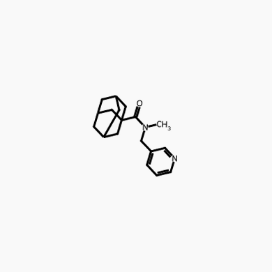 CN(Cc1cccnc1)C(=O)C12CC3CC(CC(C3)C1)C2